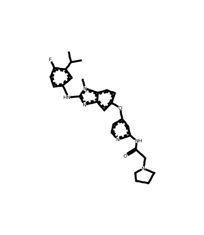 CC(C)c1cc(Nc2nc3cc(Oc4ccnc(NC(=O)CN5CCCC5)c4)ccc3n2C)ccc1F